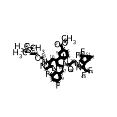 COC(=O)c1cccc(-c2cc3c(cnn3COCCS(C)(C)C)nc2[C@H](Cc2cc(F)cc(F)c2)NC(=O)Cn2nc(C(F)F)c3c2C(F)(F)C2CC32)c1